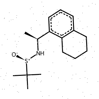 C[C@H](N[S@+]([O-])C(C)(C)C)c1cccc2c1CCCC2